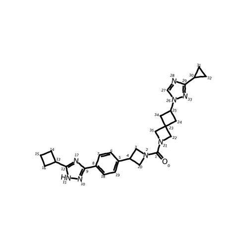 O=C(N1CC(c2ccc(-c3n[nH]c(C4CCC4)n3)cc2)C1)N1CC2(CC(n3cnc(C4CC4)n3)C2)C1